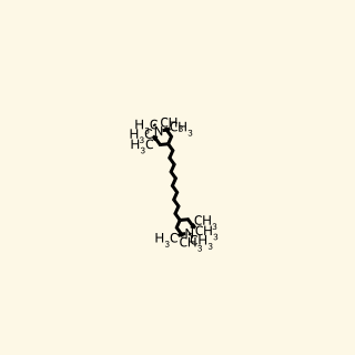 CN1C(C)(C)CC(CCCCCCCCCCC2CC(C)(C)N(C)C(C)(C)C2)CC1(C)C